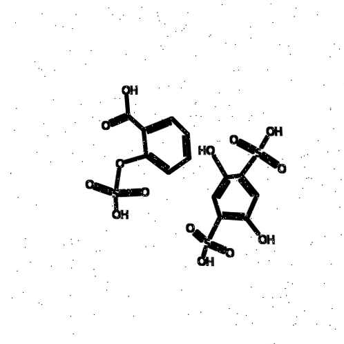 O=C(O)c1ccccc1OS(=O)(=O)O.O=S(=O)(O)c1cc(O)c(S(=O)(=O)O)cc1O